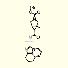 CC(C)(C)OC(=O)N1CC2C(C(=O)NC(C)(C)c3nc4c5c(cccn35)CCC4)C2(C)C1